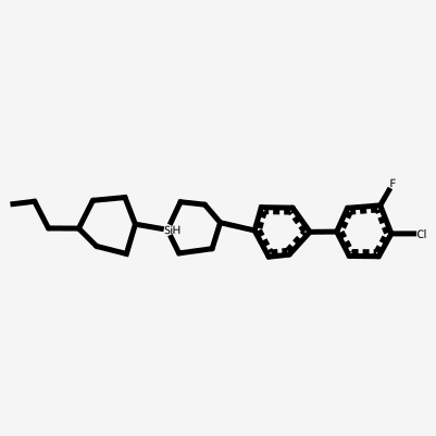 CCCC1CCC([SiH]2CCC(c3ccc(-c4ccc(Cl)c(F)c4)cc3)CC2)CC1